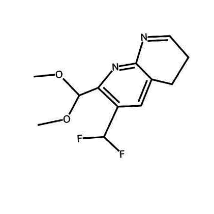 COC(OC)c1nc2c(cc1C(F)F)CCC=N2